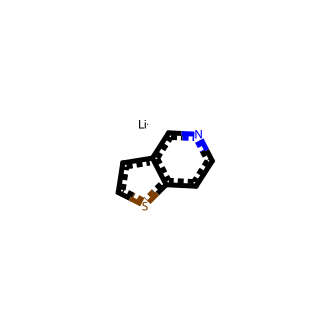 [Li].c1cc2sccc2cn1